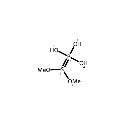 COS(OC)=P(O)(O)O